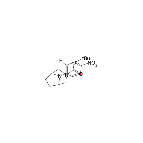 CC(C)(C)OC(=O)N1CC2CCC(C1)N2c1ccc([N+](=O)[O-])cc1F